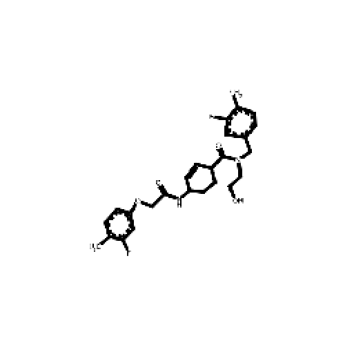 Cc1ccc(CN(CCO)C(=O)C2C=CC(NC(=O)COc3ccc(C)c(F)c3)CC2)cc1F